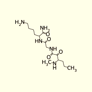 CCCC(NC)C(=O)C(=O)NCC(=O)NC(CCCCN)C(N)=O